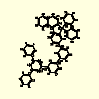 c1ccc(-c2nc(-c3ccccc3)nc(-c3cccc(-c4cccc(-c5ccc6c(c5)C(c5ccccc5)(c5ccccc5)c5ccc7ccccc7c5-6)c4)c3)n2)cc1